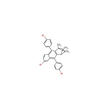 CC12CCC(c3c1c(-c1ccc(Br)cc1)c1ccc(Br)cc1c3-c1ccc(Br)cc1)C2(C)C